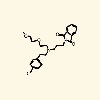 COCCOCCN(CCCN1C(=O)c2ccccc2C1=O)CCc1ccc(Cl)cc1